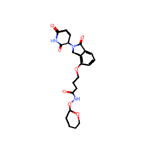 O=C(CCCOc1cccc2c1CN(C1CCC(=O)NC1=O)C2=O)NOC1CCCCO1